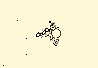 Cc1cccc2c1oc1c(O[C@@H]3C[C@H]4C(=O)N[C@]5(C(=O)NS(=O)(=O)C6CC6)C[C@H]5/C=C\CCCCC[C@H](NC(=O)OC(C)(C)C)C(=O)N4C3)c3cc(F)ccc3nc12